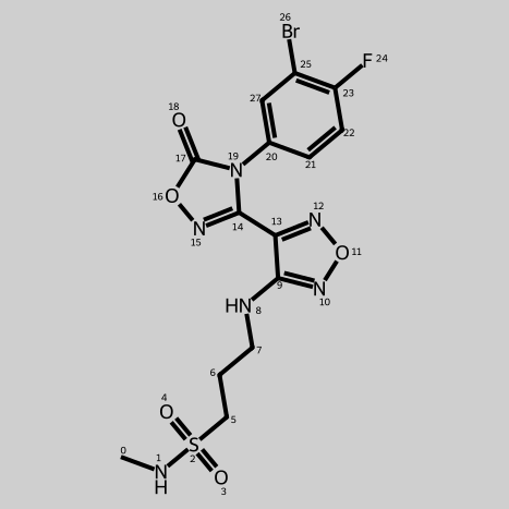 CNS(=O)(=O)CCCNc1nonc1-c1noc(=O)n1-c1ccc(F)c(Br)c1